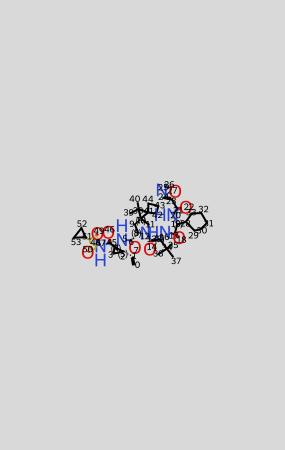 C=C[C@@H]1C[C@]1(NC(=O)[C@@H]1C[C@@]2(CN1C(=O)[C@@H](NC(=O)[C@@H](NC(=O)c1cnco1)C1CCCCC1)C(C)(C)C)C(C)(C)C21CCC1)C(=O)NS(=O)(=O)C1CC1